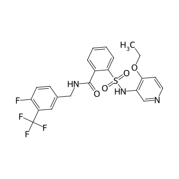 CCOc1ccncc1NS(=O)(=O)c1ccccc1C(=O)NCc1ccc(F)c(C(F)(F)F)c1